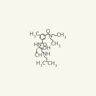 C#CC[C@H](NC(=O)c1cc(C)cc(C(=O)N(CCC)CCC)c1)[C@H](O)CNCCC(C)C